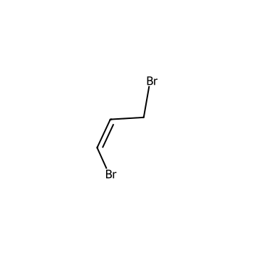 Br/C=C\CBr